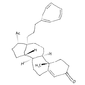 CC(=O)[C@H]1CC[C@H]2[C@@H]3CCC4=CC(=O)CC[C@@]4(C)[C@@H]3CC[C@]12CCCc1ccccc1